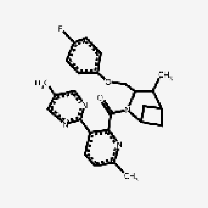 Cc1cnc(-c2ccc(C)nc2C(=O)N2C3CC(C3)C(C)C2COc2ccc(F)cc2)nc1